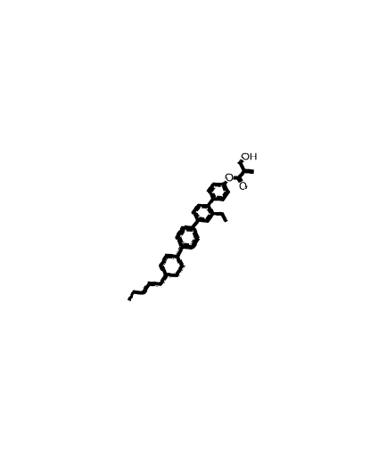 C=C(CO)C(=O)Oc1ccc(-c2ccc(-c3ccc(C4CCC(CCCCC)CC4)cc3)cc2CC)cc1